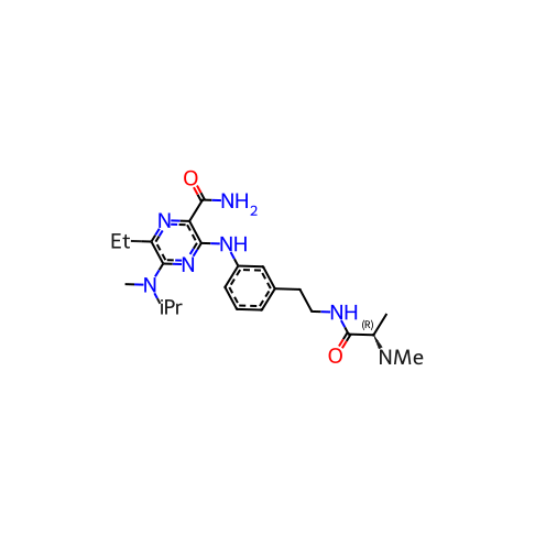 CCc1nc(C(N)=O)c(Nc2cccc(CCNC(=O)[C@@H](C)NC)c2)nc1N(C)C(C)C